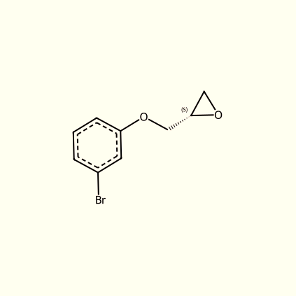 Brc1cccc(OC[C@@H]2CO2)c1